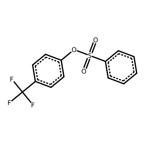 O=S(=O)(Oc1ccc(C(F)(F)F)cc1)c1ccccc1